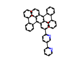 c1ccc(-c2ccccc2-c2c3ccccc3c(-c3ccccc3-c3ccccc3)c3cc(-c4ccc(-c5ccccn5)cn4)ccc23)cc1